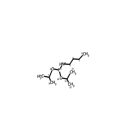 CCCCNP(OC(C)C)OC(C)C